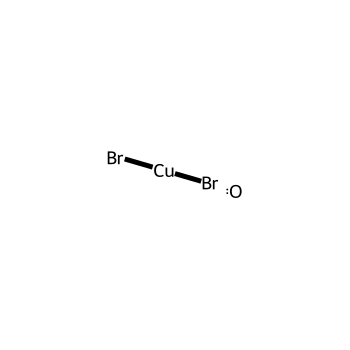 [Br][Cu][Br].[O]